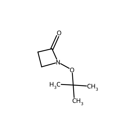 CC(C)(C)ON1CCC1=O